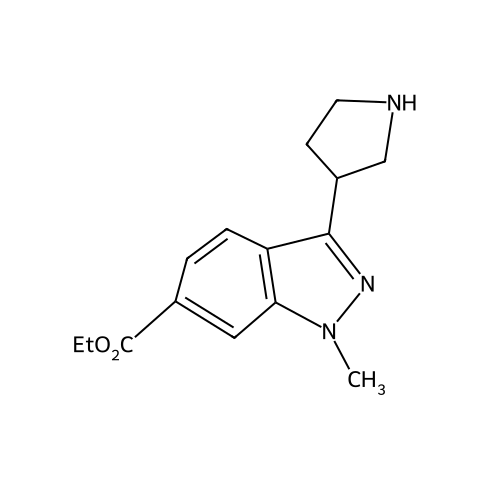 CCOC(=O)c1ccc2c(C3CCNC3)nn(C)c2c1